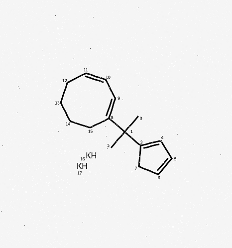 CC(C)(C1=CC=CC1)C1=CC=CCCCC1.[KH].[KH]